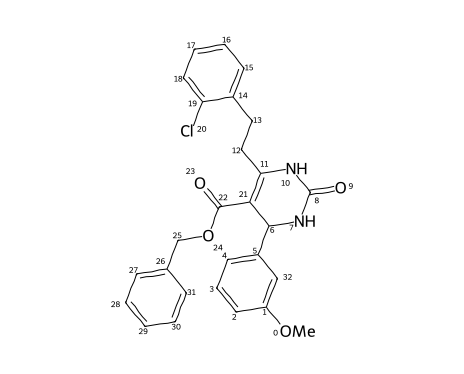 COc1cccc(C2NC(=O)NC(CCc3ccccc3Cl)=C2C(=O)OCc2ccccc2)c1